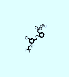 CC(C)(C)OC(=O)Cc1ccccc1OCc1cc(Cl)cc(NCC(F)F)c1